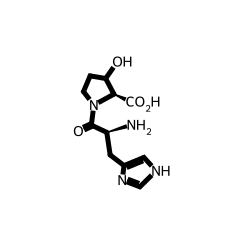 N[C@@H](Cc1c[nH]cn1)C(=O)N1CCC(O)[C@H]1C(=O)O